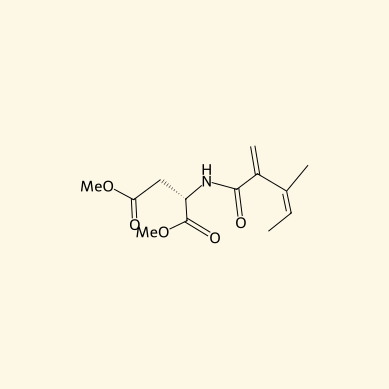 C=C(C(=O)N[C@@H](CC(=O)OC)C(=O)OC)/C(C)=C\C